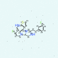 Cc1cc2c(s1)NC=c1c(F)ccnc1=C2N1CCNC(CCc2cccc(F)c2)C1